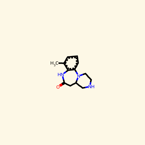 Cc1cccc2c1NC(=O)CC1CNCCN21